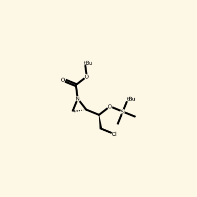 CC(C)(C)OC(=O)N1C[C@H]1[C@H](CCl)O[Si](C)(C)C(C)(C)C